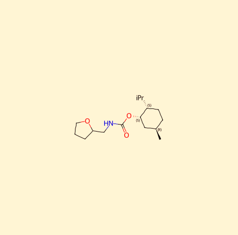 CC(C)[C@@H]1CC[C@@H](C)C[C@@H]1OC(=O)NCC1CCCO1